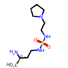 N[C@@H](CCNS(=O)(=O)NCCN1CCCC1)C(=O)O